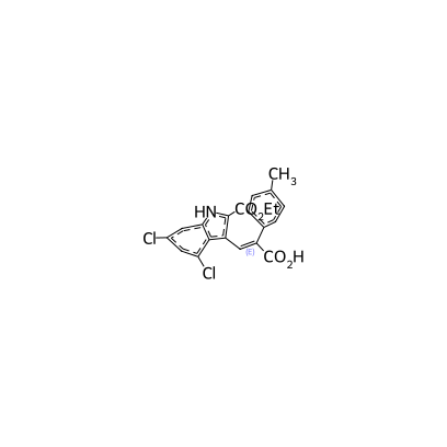 CCOC(=O)c1[nH]c2cc(Cl)cc(Cl)c2c1/C=C(/C(=O)O)c1ccc(C)cc1